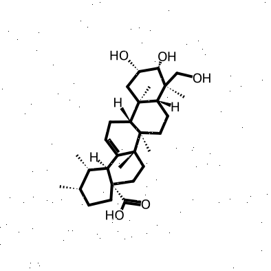 C[C@@H]1[C@H]2C3=CC[C@@H]4[C@@]5(C)C[C@H](O)[C@H](O)[C@@](C)(CO)[C@@H]5CC[C@@]4(C)[C@]3(C)CC[C@@]2(C(=O)O)CC[C@@H]1C